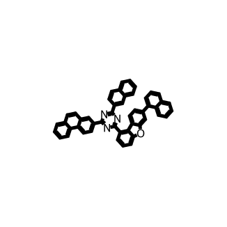 c1ccc2cc(-c3nc(-c4ccc5c(ccc6ccccc65)c4)nc(-c4cccc5oc6cc(-c7cccc8ccccc78)ccc6c45)n3)ccc2c1